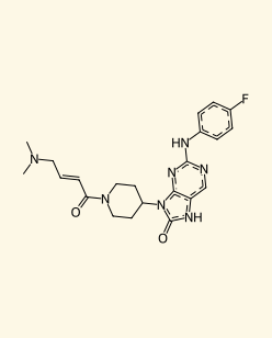 CN(C)CC=CC(=O)N1CCC(n2c(=O)[nH]c3cnc(Nc4ccc(F)cc4)nc32)CC1